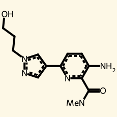 CNC(=O)c1nc(-c2cnn(CCCO)c2)ccc1N